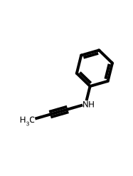 CC#CNc1ccccc1